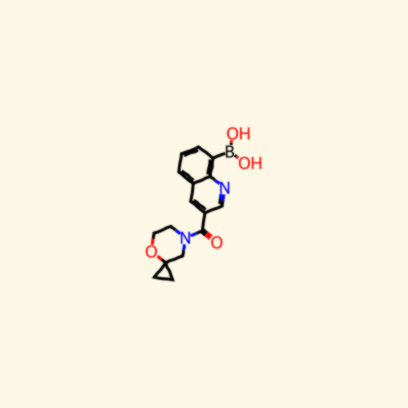 O=C(c1cnc2c(B(O)O)cccc2c1)N1CCOC2(CC2)C1